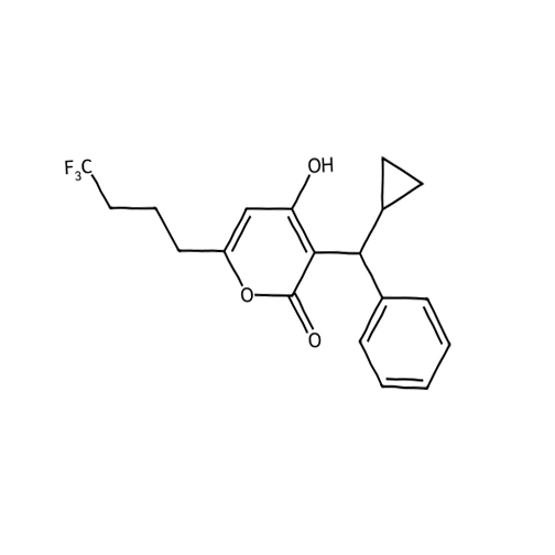 O=c1oc(CCCC(F)(F)F)cc(O)c1C(c1ccccc1)C1CC1